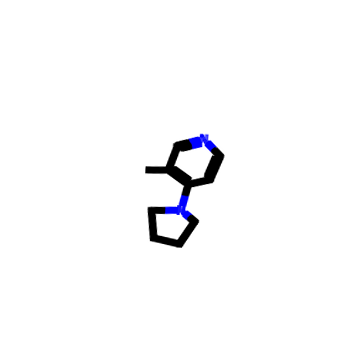 Cc1[c]nccc1N1CCCC1